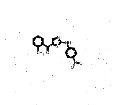 Cc1ccccc1C(=O)c1cnc(Nc2ccc([N+](=O)[O-])cc2)s1